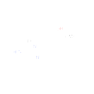 CCn1c(CN)nc2ccc(C(O)OC)cc21